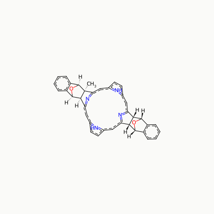 C[C@]12c3cc4ccc(cc5nc(cc6ccc(cc(n3)[C@H]1[C@@H]1O[C@H]2c2ccccc21)[nH]6)[C@@H]1[C@H]5[C@H]2O[C@@H]1c1ccccc12)[nH]4